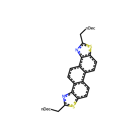 CCCCCCCCCCCc1nc2c(ccc3c4ccc5sc(CCCCCCCCCCC)nc5c4ccc32)s1